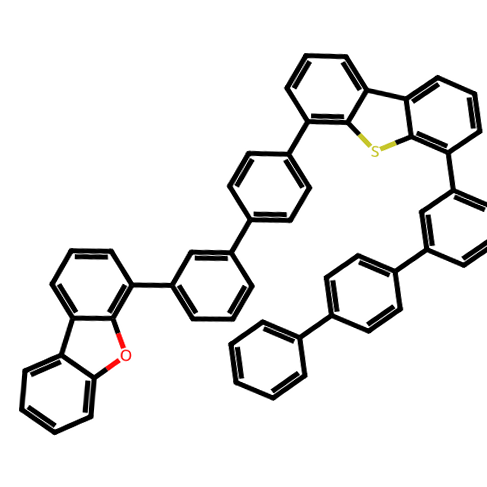 c1ccc(-c2ccc(-c3cccc(-c4cccc5c4sc4c(-c6ccc(-c7cccc(-c8cccc9c8oc8ccccc89)c7)cc6)cccc45)c3)cc2)cc1